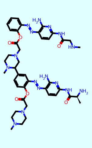 CNCC(=O)Nc1ccc(/N=N/c2ccccc2OC(=O)CN2CCN(C)C(c3ccc(OC(=O)CN4CCN(C)CC4)c(/N=N/c4ccc(NC(=O)[C@H](C)N)nc4N)c3)C2)c(N)n1